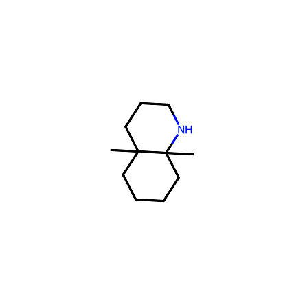 CC12CCCCC1(C)NCCC2